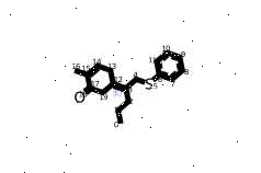 CCC/C(CSc1ccccc1)=C1/CC=C(C)C(=O)C1